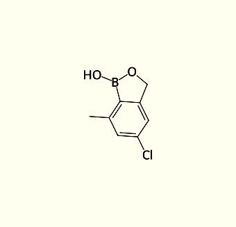 Cc1cc(Cl)cc2c1B(O)OC2